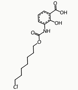 O=C(Nc1cccc(C(=O)O)c1O)OCCCCCCCCl